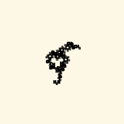 COC(=O)c1ccc(-c2ccc(C[C@@H]3NC(=O)[C@]4(Cc5ccccc5)CCCN(C4)C(=O)/C=C/C(=O)NCC[C@@H](C(=O)NCCOCCN)NC(=O)Cc4ccccc4CNC3=O)cc2)cc1C